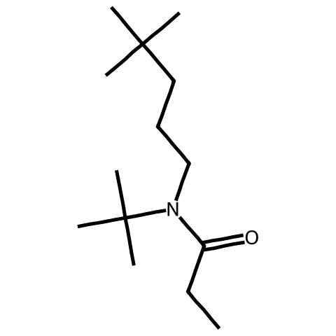 CCC(=O)N(CCCC(C)(C)C)C(C)(C)C